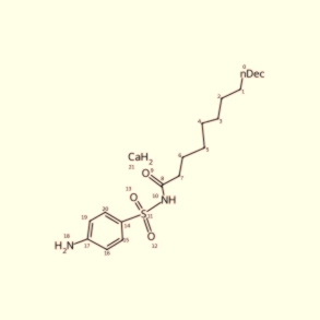 CCCCCCCCCCCCCCCCCC(=O)NS(=O)(=O)c1ccc(N)cc1.[CaH2]